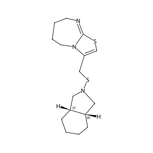 C1=C(CSN2C[C@H]3CCCC[C@H]3C2)N2CCCCN=C2S1